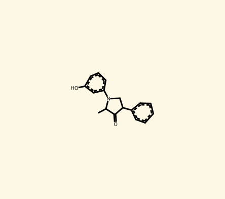 CC1C(=O)C(c2ccccc2)CN1c1cccc(O)c1